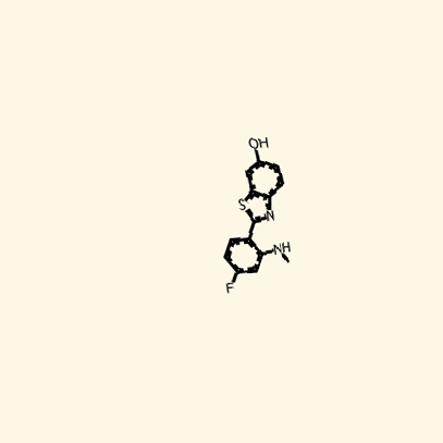 CNc1cc(F)ccc1-c1nc2ccc(O)cc2s1